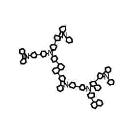 c1ccc(-n2c3ccccc3c3ccc(-c4ccc(N(c5ccc(-c6ccc(-n7c8ccccc8c8ccccc87)cc6)cc5)c5ccc(-c6cccc7c(-c8ccc9c(c8)c8ccccc8n9-c8ccc(-c9ccc(N(c%10ccc(-c%11cccc%12ccccc%11%12)cc%10)c%10ccc(-c%11ccc%12c%13ccccc%13n(-c%13ccccc%13)c%12c%11)c%11ccccc%10%11)cc9)cc8)cccc67)cc5)cc4)cc32)cc1